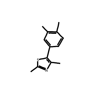 Cc1nc(C)c(-c2ccc(C)c(C)c2)s1